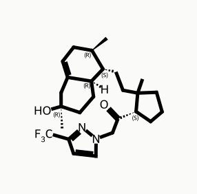 C[C@@H]1CC=C2C[C@](C)(O)CC[C@@H]2[C@H]1CCC1(C)CCC[C@@H]1C(=O)Cn1ccc(C(F)(F)F)n1